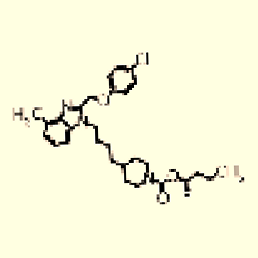 CCCC(F)OC(=O)N1CCC(CCCCn2c(COc3ccc(Cl)cc3)nc3c(C)cccc32)CC1